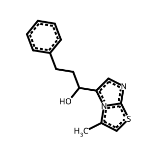 Cc1csc2ncc(C(O)CCc3ccccc3)n12